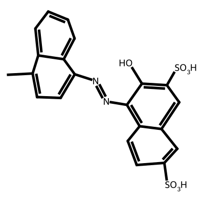 Cc1ccc(N=Nc2c(O)c(S(=O)(=O)O)cc3cc(S(=O)(=O)O)ccc23)c2ccccc12